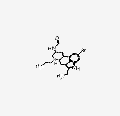 CCCN1C[C@@H](NC=O)CC2c3cc(Br)cc4[nH]c(CC)c(c34)C[C@H]21